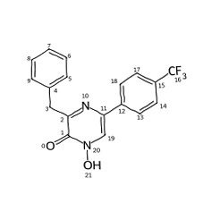 O=c1c(Cc2ccccc2)nc(-c2ccc(C(F)(F)F)cc2)cn1O